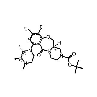 C[C@H]1[C@H](C)N(c2nc(Cl)c(Cl)c3c2C(=O)N2CCN(C(=O)OC(C)(C)C)C[C@@H]2CO3)CCN1C